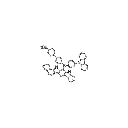 CC(C)(C)c1ccc(-c2ccc3c(c2)-n2c4c5c6c(cc4c4ccc7ccccc7c42)c2ccccc2n6-c2cc(-n4c6ccccc6c6ccccc64)ccc2B35)cc1